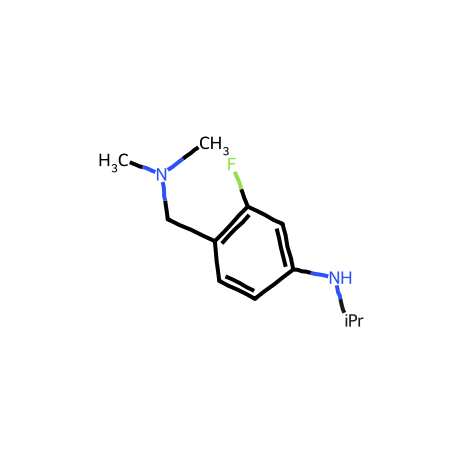 CC(C)Nc1ccc(CN(C)C)c(F)c1